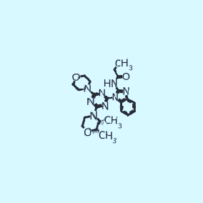 CCC(=O)Nc1nc2ccccc2n1-c1nc(N2CCOCC2)nc(N2CCO[C@H](C)[C@H]2C)n1